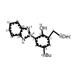 CCCCCCCCCCCc1cc(CCCC)cc(-n2nc3ccccc3n2)c1O